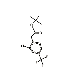 CC(C)(C)OC(=O)Cc1ccc(C(F)(F)F)cc1Cl